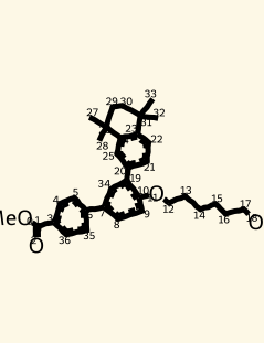 COC(=O)c1ccc(-c2ccc(OCCCCCCO)c(-c3ccc4c(c3)C(C)(C)CCC4(C)C)c2)cc1